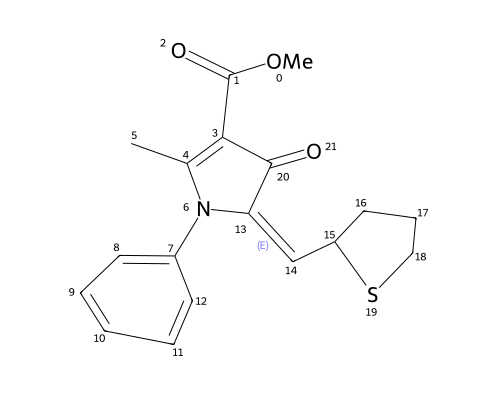 COC(=O)C1=C(C)N(c2ccccc2)/C(=C/C2CCCS2)C1=O